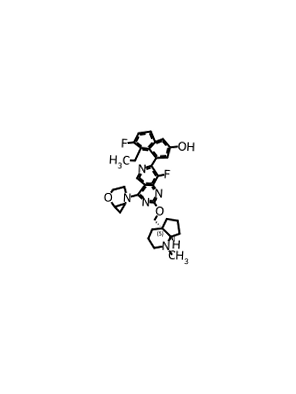 CCc1c(F)ccc2cc(O)cc(-c3ncc4c(N5CCOC6CC65)nc(OC[C@]56CCC[C@H]5N(C)CCC6)nc4c3F)c12